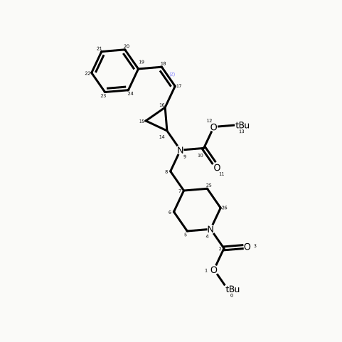 CC(C)(C)OC(=O)N1CCC(CN(C(=O)OC(C)(C)C)C2CC2/C=C\c2ccccc2)CC1